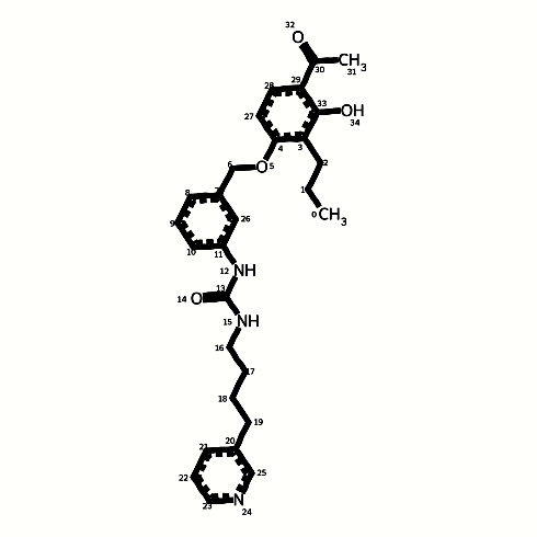 CCCc1c(OCc2cccc(NC(=O)NCCCCc3cccnc3)c2)ccc(C(C)=O)c1O